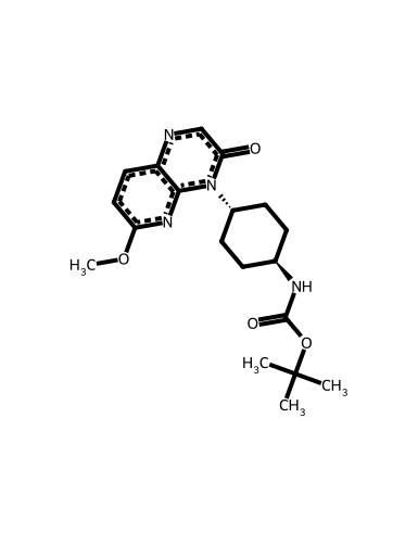 COc1ccc2ncc(=O)n([C@H]3CC[C@H](NC(=O)OC(C)(C)C)CC3)c2n1